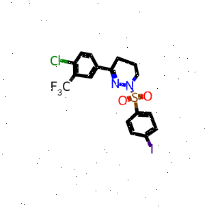 O=S(=O)(c1ccc(I)cc1)N1CCCC(c2ccc(Cl)c(C(F)(F)F)c2)=N1